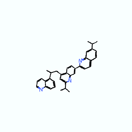 CC(C)c1ccc2ccc(-c3ccc4c(CC(C)c5cccc6ncccc56)cc(C(C)C)nc4c3)nc2c1